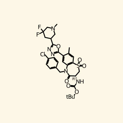 Cc1cc2c(cc1-c1nnc(C3CN(C)CC(F)(F)C3)o1)N(Cc1ccc(Cl)cc1)C(=O)[C@@H](NC(=O)OC(C)(C)C)CS2(=O)=O